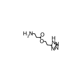 NCCC(=O)OCCc1nnn[nH]1